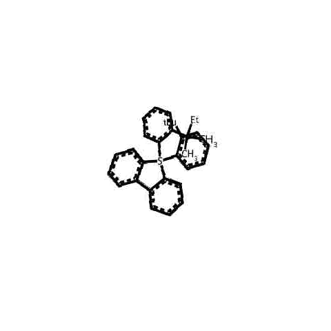 CCC(C)(C)c1ccccc1S1(c2ccccc2C(C)(C)C)c2ccccc2-c2ccccc21